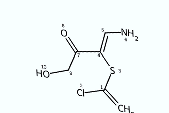 C=C(Cl)S/C(=C\N)C(=O)CO